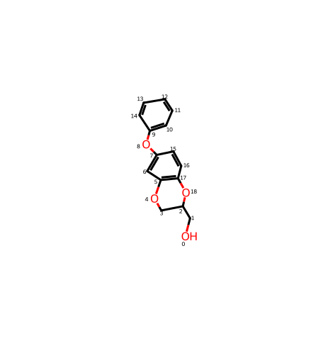 OCC1COc2cc(Oc3ccccc3)ccc2O1